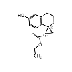 CCOC(=O)[C@H]1C[C@@]12CCCc1cc(O)ccc12